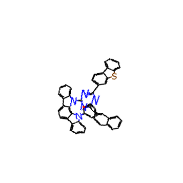 c1ccc(-n2c3ccccc3c3ccc4c5ccccc5n(-c5nc(-c6ccc7ccccc7c6)nc(-c6ccc7c(c6)sc6ccccc67)n5)c4c32)cc1